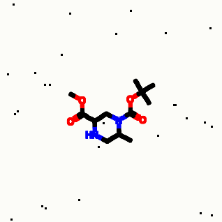 COC(=O)C1CN(C(=O)OC(C)(C)C)C(C)CN1